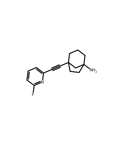 NC12CCCC(C#Cc3cccc(F)n3)(CC1)C2